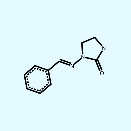 O=C1[N]CCN1N=Cc1ccccc1